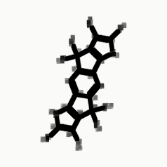 Fc1sc2c(c1F)C(F)(F)c1cc3c(cc1-2)C(F)(F)c1c-3sc(F)c1F